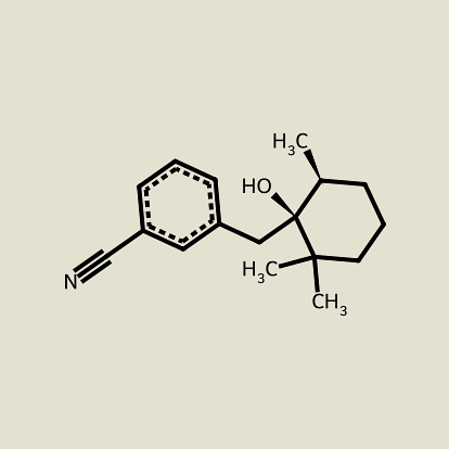 C[C@H]1CCCC(C)(C)[C@]1(O)Cc1cccc(C#N)c1